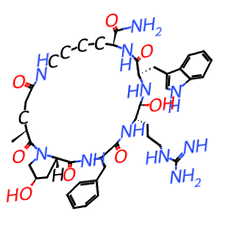 C[C@H]1CCC(=O)NCCCC[C@@H](C(N)=O)NC(=O)[C@H](Cc2c[nH]c3ccccc23)N[C@@H](O)[C@H](CCCNC(=N)N)NC(=O)[C@@H](Cc2ccccc2)NC(=O)[C@@H]2C[C@@H](O)CN2C1=O